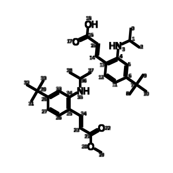 CC(C)Nc1cc(C(C)(C)C)ccc1C=CC(=O)O.COC(=O)C=Cc1ccc(C(C)(C)C)cc1NC(C)C